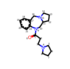 O=C(CCN1CCCC1)N1CC2CCCN2Cc2ccccc21